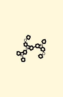 c1ccc(Oc2ccc3c(c2)c2cc(-c4ccc5c(c4)c4cc(Oc6ccccc6)ccc4n5-c4ccc5c(c4)c4ccccc4n5-c4ccccc4)ccc2n3-c2ccccc2)cc1